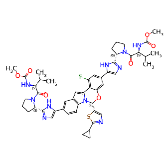 COC(=O)N[C@H](C(=O)N1CCC[C@H]1c1ncc(-c2cc(F)c3c(c2)O[C@H](c2cnc(C4CC4)s2)n2c-3cc3cc(-c4cnc([C@@H]5CCCN5C(=O)[C@@H](NC(=O)OC)C(C)C)[nH]4)ccc32)[nH]1)C(C)C